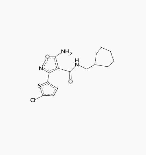 Nc1onc(-c2ccc(Cl)s2)c1C(=O)NCC1CCCCC1